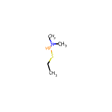 CCSPN(C)C